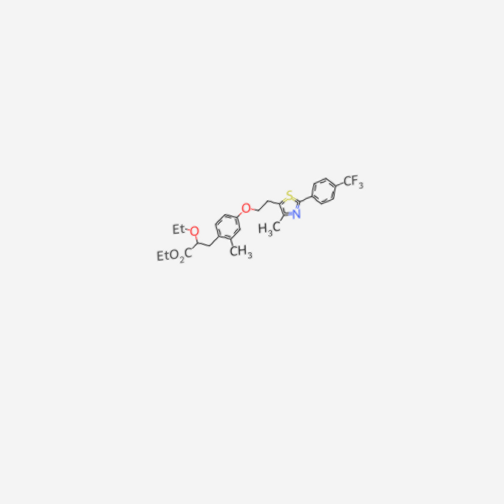 CCOC(=O)C(Cc1ccc(OCCc2sc(-c3ccc(C(F)(F)F)cc3)nc2C)cc1C)OCC